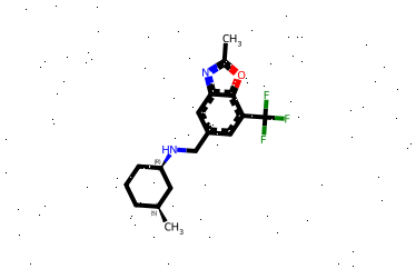 Cc1nc2cc(CN[C@@H]3CCC[C@H](C)C3)cc(C(F)(F)F)c2o1